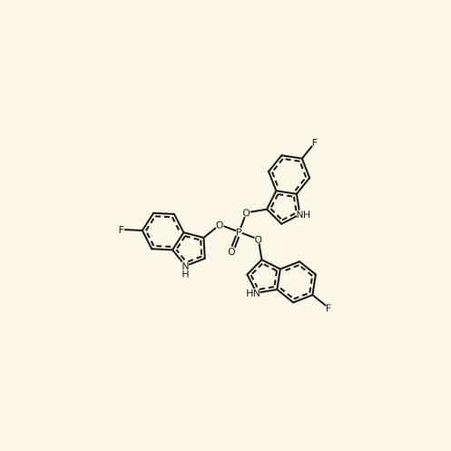 O=P(Oc1c[nH]c2cc(F)ccc12)(Oc1c[nH]c2cc(F)ccc12)Oc1c[nH]c2cc(F)ccc12